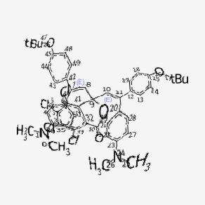 CN(C)c1ccc(/C(=C\C2(/C=C(/c3ccc(OC(C)(C)C)cc3)c3ccc(N(C)C)cc3)OC(=O)c3c(Cl)c(Cl)c(Cl)c(Cl)c32)c2ccc(OC(C)(C)C)cc2)cc1